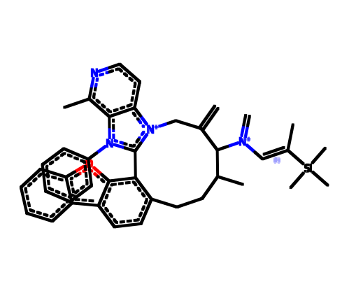 C=C1C[n+]2c(n(-c3ccccc3)c3c(C)nccc32)-c2c(ccc3c2oc2ccccc23)CCC(C)C1[N+](=C)/C=C(\C)[Si](C)(C)C